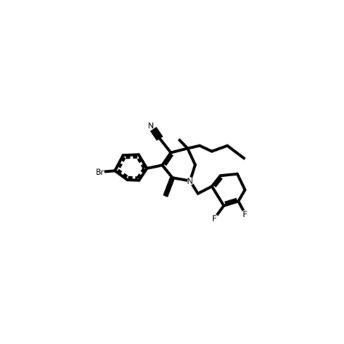 C=C1C(c2ccc(Br)cc2)=C(C#N)C(C)(CCCC)CN1CC1=CCCC(F)=C1F